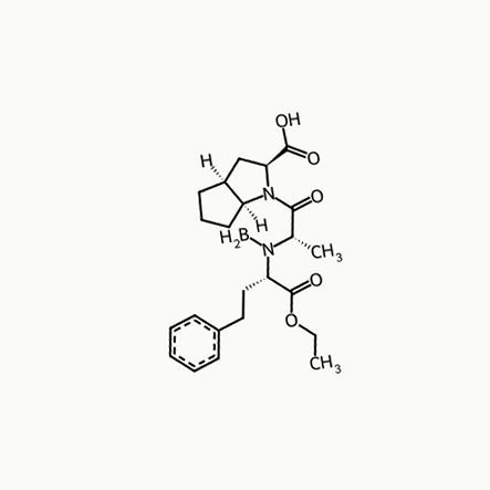 BN([C@@H](C)C(=O)N1[C@H](C(=O)O)C[C@@H]2CCC[C@@H]21)[C@@H](CCc1ccccc1)C(=O)OCC